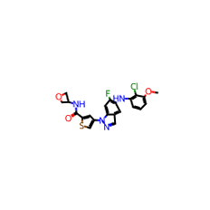 COc1cccc(Nc2cc3cnn(-c4csc(C(=O)NC5COC5)c4)c3cc2F)c1Cl